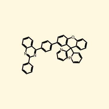 C1=CNC(C2(c3ccccn3)c3ccccc3Oc3ccc(-c4ccc(-c5nc(-c6ccccc6)nc6ccccc56)cc4)cc32)C=C1